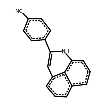 N#Cc1ccc(C2=Cc3cccc4cccc(c34)N2)cc1